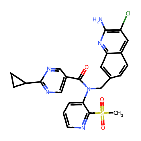 CS(=O)(=O)c1ncccc1N(Cc1ccc2cc(Cl)c(N)nc2c1)C(=O)c1cnc(C2CC2)nc1